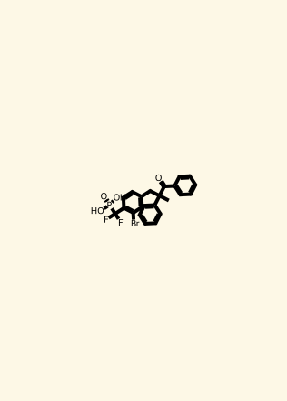 CC(Cc1ccc(C(F)(F)P(=O)(O)O)c(Br)c1)(C(=O)c1ccccc1)c1ccccc1